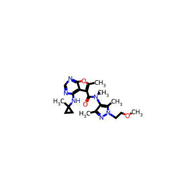 COCCn1nc(C)c(N(C)C(=O)c2c(C)oc3ncnc(NC4(C)CC4)c23)c1C